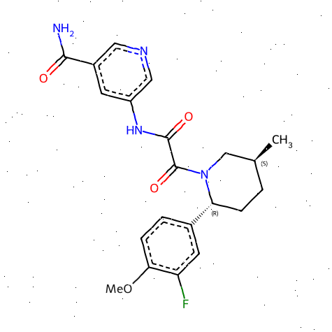 COc1ccc([C@H]2CC[C@H](C)CN2C(=O)C(=O)Nc2cncc(C(N)=O)c2)cc1F